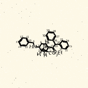 CCOC(=O)[C@@H]1[C@@H]2CC[C@@H](CC2NCc2ccccc2)N1C(=O)C(c1ccccc1)c1ccccc1